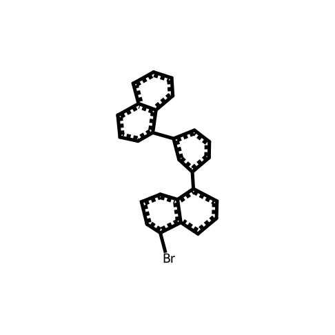 Brc1cccc2c(-c3cccc(-c4cccc5ccccc45)c3)cccc12